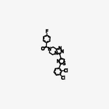 O=C(c1ccc(F)cc1)N1CCn2c(nnc2-c2csc(-c3cccc(Cl)c3Cl)n2)C1